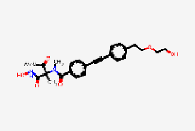 CNC(=O)C(C)(C(=O)NO)N(C)C(=O)c1ccc(C#Cc2ccc(CCOCCO)cc2)cc1